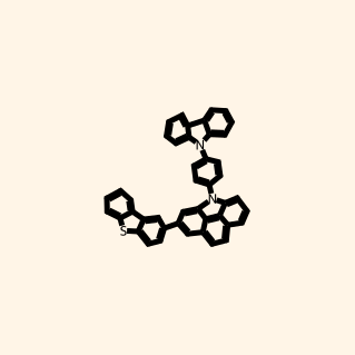 c1ccc2c(c1)sc1ccc(-c3cc4ccc5cccc6c5c4c(c3)n6-c3ccc(-n4c5ccccc5c5ccccc54)cc3)cc12